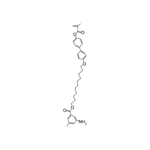 C=C(C)C(=O)Oc1ccc(-c2ccc(OCCCCCCCCCCCOC(=O)c3cc(C)cc(N)c3)cc2)cc1